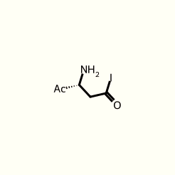 CC(=O)[C@H](N)CC(=O)I